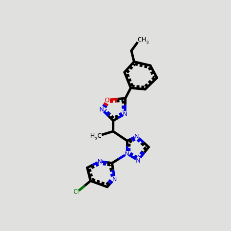 CCc1cccc(-c2nc(C(C)c3ncnn3-c3ncc(Cl)cn3)no2)c1